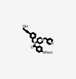 CCCCCc1ccc(C(=O)N(Cc2cccc(C#CCO)c2)C2CCN(Cc3ccncc3)CC2)cc1